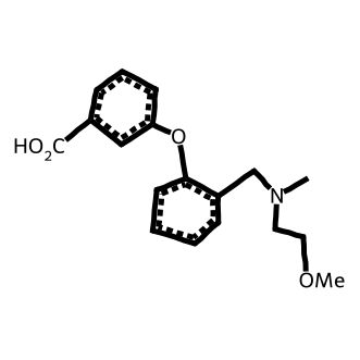 COCCN(C)Cc1ccccc1Oc1cccc(C(=O)O)c1